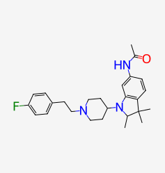 CC(=O)Nc1ccc2c(c1)N(C1CCN(CCc3ccc(F)cc3)CC1)C(C)C2(C)C